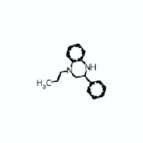 CCCN1CC(c2ccccc2)Nc2ccccc21